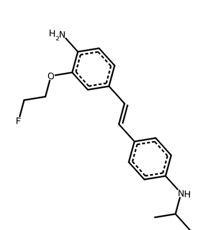 CC(C)Nc1ccc(C=Cc2ccc(N)c(OCCF)c2)cc1